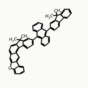 CC1(C)c2ccccc2-c2ccc(-c3c4ccccc4c(-c4ccc5c(c4)C(C)(C)c4ccc6cc7oc8ccccc8c7cc6c4-5)c4ccccc34)cc21